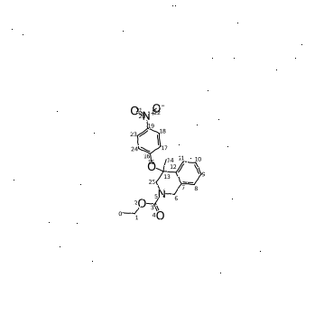 CCOC(=O)N1Cc2ccccc2C(C)(Oc2ccc([N+](=O)[O-])cc2)C1